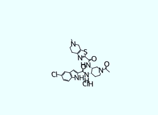 CC(=O)N1CC[C@H](NC(=O)c2cc3cc(Cl)ccc3[nH]2)[C@H](NC(=O)c2nc3c(s2)CN(C)CC3)C1.Cl